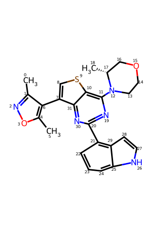 Cc1noc(C)c1-c1csc2c(N3CCOC[C@H]3C)nc(-c3cccc4[nH]ccc34)nc12